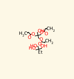 C=CC(=O)OCC(CO)(COC(=O)C=C)COC(=O)C=C.CCC(CO)(CO)CO